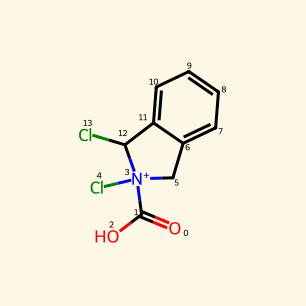 O=C(O)[N+]1(Cl)Cc2ccccc2C1Cl